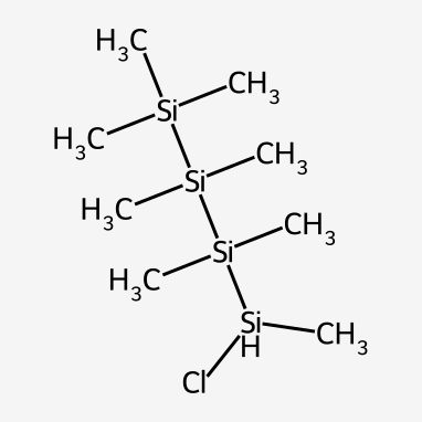 C[SiH](Cl)[Si](C)(C)[Si](C)(C)[Si](C)(C)C